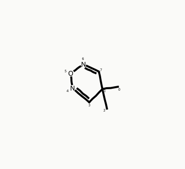 CC1(C)C=NON=C1